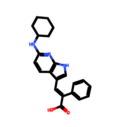 O=C(O)/C(=C/c1c[nH]c2nc(NC3CCCCC3)ccc12)c1ccccc1